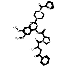 COc1cc2nc(N3CCN(C(=O)c4ccco4)CC3)nc(NC(=O)C3CSCN3C(=S)C(C)CC(=O)c3ccccc3)c2cc1OC